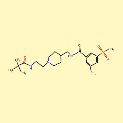 CC(C)(C(=O)NCCN1CCC(CNC(=O)c2cc(C(F)(F)F)cc(S(C)(=O)=O)c2)CC1)C(F)(F)F